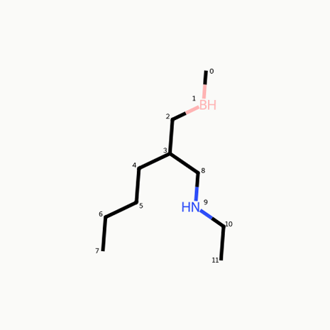 CBCC(CCCC)CNCC